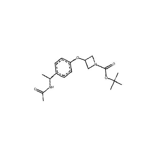 CC(=O)NC(C)c1ccc(OC2CN(C(=O)OC(C)(C)C)C2)cc1